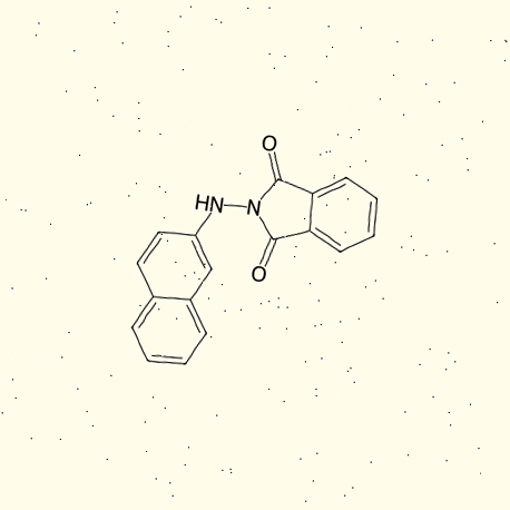 O=C1c2ccccc2C(=O)N1Nc1ccc2ccccc2c1